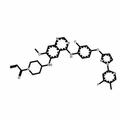 C=CC(=O)N1CCC(Nc2cc3c(Nc4ccc(Oc5ccn(-c6cc(F)c(C)cn6)n5)cc4F)ncnc3cc2OC)CC1